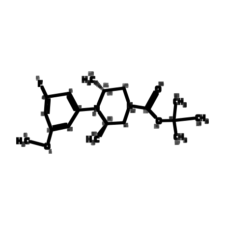 COc1cc(F)cc(N2[C@H](C)CN(C(=O)OC(C)(C)C)C[C@H]2C)c1